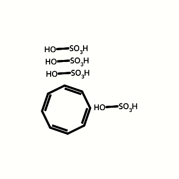 C1=CC=CC=CC=C1.O=S(=O)(O)O.O=S(=O)(O)O.O=S(=O)(O)O.O=S(=O)(O)O